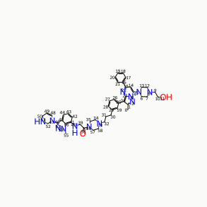 Cc1nn2c(N3CCN(CCO)CC3)cc(-c3ccccc3)nc2c1-c1cccc(CCCN2CCN(C(=O)CNc3cccc4c(N5C=CCNC5)nn(C)c34)CC2)c1